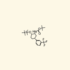 CC(C)(C)OC(=O)N[C@H]1C[C@@H](c2cccc(C(F)(F)F)c2)CCC1O[Si](C)(C)C(C)(C)C